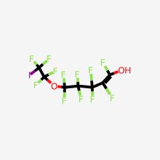 OC(F)=C(F)C(F)(F)C(F)(F)C(F)(F)OC(F)(F)C(F)(F)I